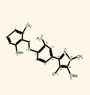 CNc1cccc(C)c1COc1ccc(-c2nn(C)c(OC)c2Cl)cc1C